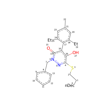 CCCCCCCCCCCCSc1nn(Cc2ccccc2)c(=O)c(-c2c(CC)cc(C)cc2CC)c1O